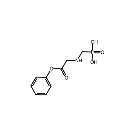 O=C(CNCP(=O)(O)O)Oc1ccccc1